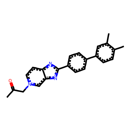 CC(=O)Cn1ccc2nc(-c3ccc(-c4ccc(C)c(C)c4)cc3)nc-2c1